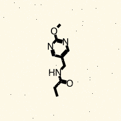 CCC(=O)NCc1cnc(OC)nc1